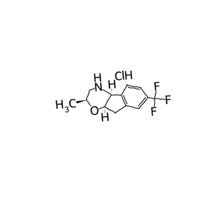 C[C@H]1CN[C@H]2c3ccc(C(F)(F)F)cc3C[C@H]2O1.Cl